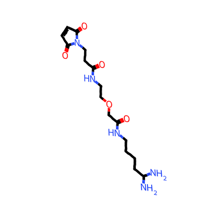 NC(N)CCCCNC(=O)COCCNC(=O)CCN1C(=O)C=CC1=O